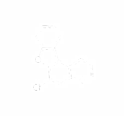 Clc1cc2ccccc2c2c1oc1ccccc12